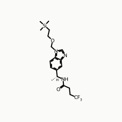 C[C@@H](NC(=O)CCC(F)(F)F)c1ccc2c(c1)ncn2COCC[Si](C)(C)C